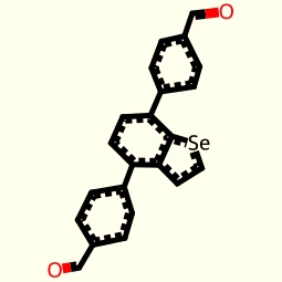 O=Cc1ccc(-c2ccc(-c3ccc(C=O)cc3)c3[se]ccc23)cc1